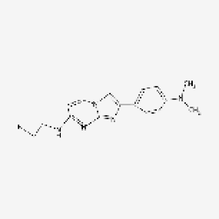 CN(C)c1ccc(-c2cn3ccc(NCCF)nc3n2)cc1